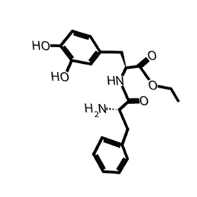 CCOC(=O)[C@H](Cc1ccc(O)c(O)c1)NC(=O)[C@@H](N)Cc1ccccc1